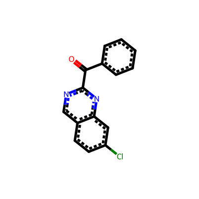 O=C(c1ccccc1)c1ncc2ccc(Cl)cc2n1